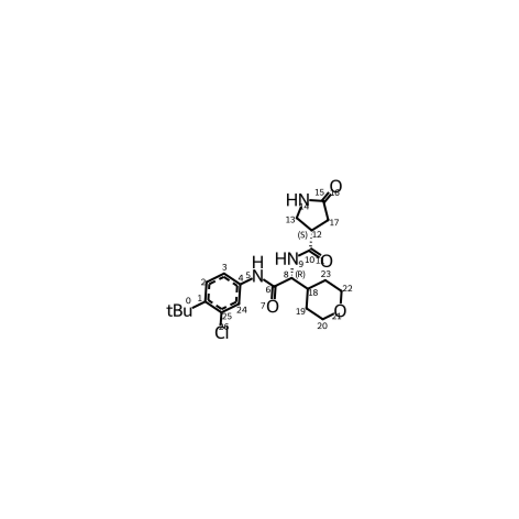 CC(C)(C)c1ccc(NC(=O)[C@H](NC(=O)[C@@H]2CNC(=O)C2)C2CCOCC2)cc1Cl